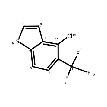 FC(F)(F)c1ccc2sc[c]c2c1Cl